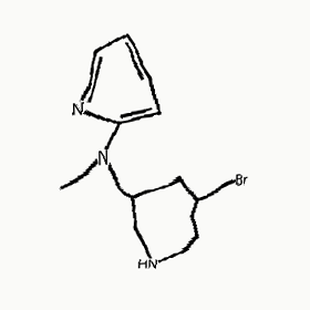 CN(c1ccccn1)C1CNCC(Br)C1